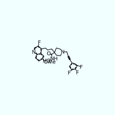 COc1ccc2ncc(F)c(CCCC3(C(=O)NO)CCN(CC#Cc4cc(F)c(F)c(F)c4)CC3)c2c1